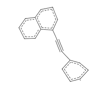 C(#Cc1cccc2ccccc12)c1cc[c]cc1